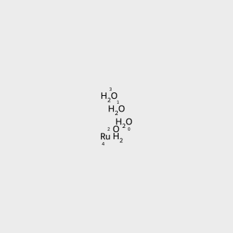 O.O.O.O.[Ru]